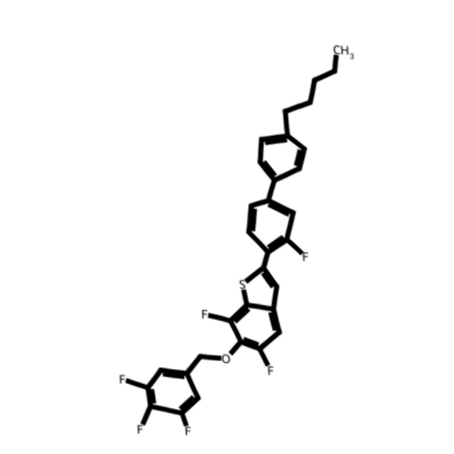 CCCCCc1ccc(-c2ccc(-c3cc4cc(F)c(OCc5cc(F)c(F)c(F)c5)c(F)c4s3)c(F)c2)cc1